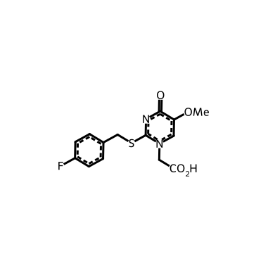 COc1cn(CC(=O)O)c(SCc2ccc(F)cc2)nc1=O